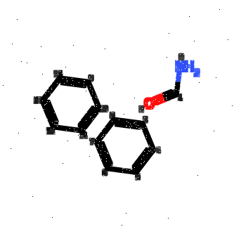 NC=O.c1ccccc1.c1ccccc1